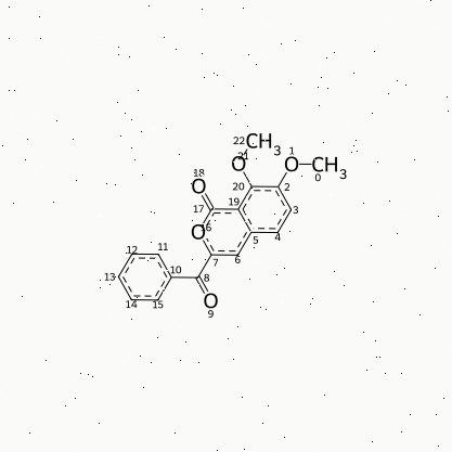 COc1ccc2cc(C(=O)c3ccccc3)oc(=O)c2c1OC